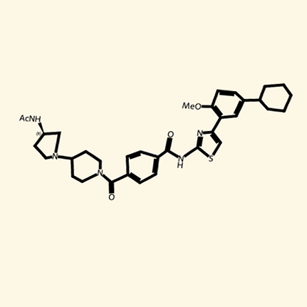 COc1ccc(C2CCCCC2)cc1-c1csc(NC(=O)c2ccc(C(=O)N3CCC(N4CC[C@@H](NC(C)=O)C4)CC3)cc2)n1